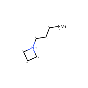 CNCCCN1CCC1